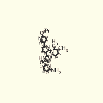 CC(C)Oc1ccc(-c2ccc(C(=O)NS(=O)(=O)c3cccc(N)n3)c(N3CCCC(C)C3C)n2)cn1